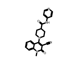 Cn1c(=O)c(C#N)c(N2CCC(C(=O)Nc3ccncc3)CC2)c2ccccc21